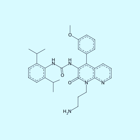 COc1cccc(-c2c(NC(=O)Nc3c(C(C)C)cccc3C(C)C)c(=O)n(CCCN)c3ncccc23)c1